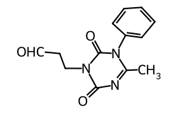 Cc1nc(=O)n(CCC=O)c(=O)n1-c1ccccc1